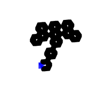 c1cncc(-c2ccc(-c3ccc4c(-c5cc6ccccc6c6ccccc56)c5ccccc5c(-c5cc6ccccc6c6ccccc56)c4c3)cc2)c1